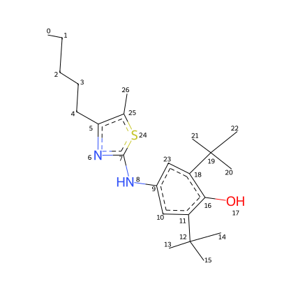 CCCCCc1nc(Nc2cc(C(C)(C)C)c(O)c(C(C)(C)C)c2)sc1C